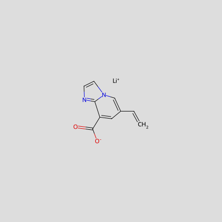 C=Cc1cc(C(=O)[O-])c2nccn2c1.[Li+]